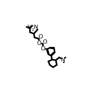 CC(C)CC(CN)CC(=O)OC(=O)Oc1cccc(C2CCCCC2CN(C)C)c1